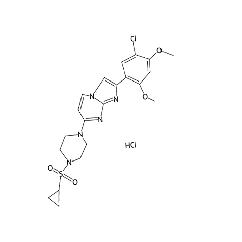 COc1cc(OC)c(-c2cn3ccc(N4CCN(S(=O)(=O)C5CC5)CC4)nc3n2)cc1Cl.Cl